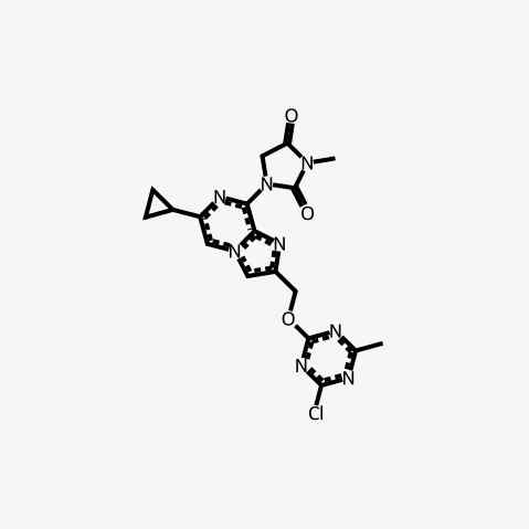 Cc1nc(Cl)nc(OCc2cn3cc(C4CC4)nc(N4CC(=O)N(C)C4=O)c3n2)n1